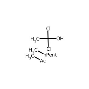 CC(C)=O.CC(O)(Cl)Cl.CCCCCC